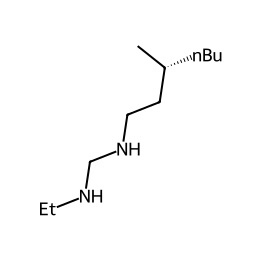 CCCC[C@@H](C)CCNCNCC